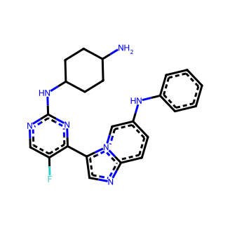 NC1CCC(Nc2ncc(F)c(-c3cnc4ccc(Nc5ccccc5)cn34)n2)CC1